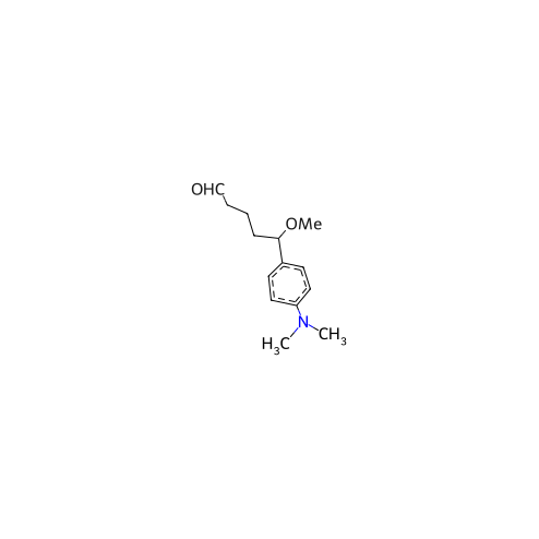 COC(CCCC=O)c1ccc(N(C)C)cc1